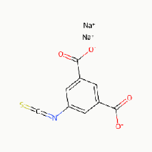 O=C([O-])c1cc(N=C=S)cc(C(=O)[O-])c1.[Na+].[Na+]